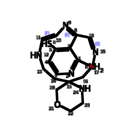 Nc1nccc(S)c1C1=N\C=C\NCCC2(CC/N=C\1)COCCN2